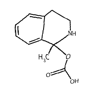 CC1(OC(=O)O)NCCc2ccccc21